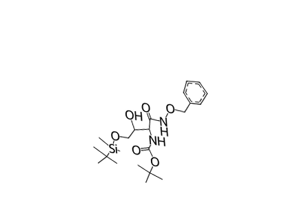 CC(C)(C)OC(=O)NC(C(=O)NOCc1ccccc1)C(O)CO[Si](C)(C)C(C)(C)C